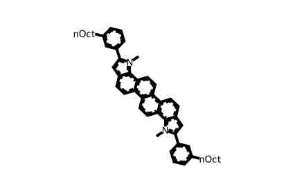 CCCCCCCCc1cccc(-c2cc3ccc4c5ccc6c(ccc7cc(-c8cccc(CCCCCCCC)c8)n(C)c76)c5ccc4c3n2C)c1